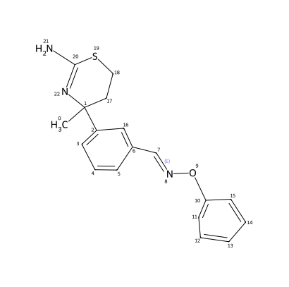 CC1(c2cccc(/C=N/Oc3ccccc3)c2)CCSC(N)=N1